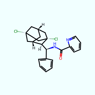 O=C(N[C@@H](c1ccccc1)[C@H]1[C@H]2C[C@@H]3C[C@](Cl)(C2)C[C@@]1(Cl)C3)c1ccccn1